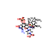 CC(C)c1cc(C(C)C)c(S(=O)(=O)N[C@@H](Cc2cccc(/C(N)=N\O)c2)C(=O)N2CCN(C(=O)O)CC2)c(C(C)C)c1.O=S(=O)(O)O